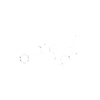 CNCCN[C@@H](C)C(=O)N[C@H](C(=O)N1CCC[C@H]1CN(CCc1ccccc1)C(=O)C(F)(F)F)C(C)(C)C